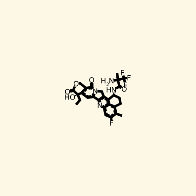 CC[C@@]1(O)C(=O)OCc2c1cc1n(c2=O)Cc2c-1nc1cc(F)c(C)c3c1c2[C@@H](NC(=O)C(C)(N)C(F)(F)F)CC3